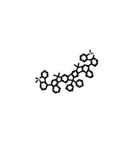 Cc1cccc(-c2cc3c(c4ccccc24)-c2cc4c(cc2C3(C)C)-c2cc3c(cc2C4(c2ccccc2)c2ccccc2)-c2c(cc(-c4cccc5c4-c4ccccc4[Si]5(C)C)c4ccccc24)C3(C)C)c1-c1ccccc1[SiH](C)C